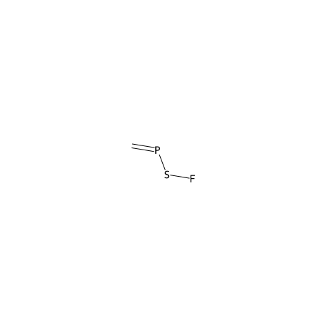 C=PSF